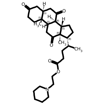 CC(CCC(=O)OCCN1CCCCC1)[C@H]1CC[C@H]2[C@@H]3C(=O)C[C@@H]4CC(=O)CC[C@]4(C)[C@H]3CC(=O)[C@]12C